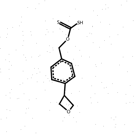 S=C(S)OCc1ccc(C2COC2)cc1